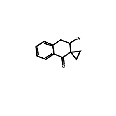 O=C1c2ccccc2CC(Br)C12CC2